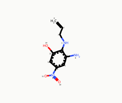 C=CCNc1c(N)cc([N+](=O)[O-])cc1O